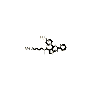 COCCCCNC(=O)c1csc2nc(-c3ccccn3)nc(N3CCN(C)CC3)c12